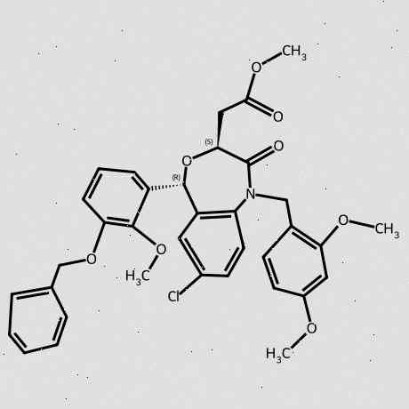 COC(=O)C[C@@H]1O[C@@H](c2cccc(OCc3ccccc3)c2OC)c2cc(Cl)ccc2N(Cc2ccc(OC)cc2OC)C1=O